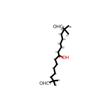 CC(C)(C=O)CCCCCC(O)CCCCCC(C)(C)C=O